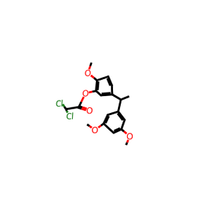 COc1cc(OC)cc(C(C)c2ccc(OC)c(OC(=O)C(Cl)Cl)c2)c1